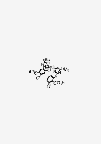 CC(C)Oc1cc(-n2nc(C(C)(C)C)oc2=O)c(Cl)cc1Cl.COc1cc(OC)nc(Sc2cccc(Cl)c2C(=O)O)n1